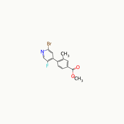 COC(=O)c1ccc(-c2cc(Br)ncc2F)c(C)c1